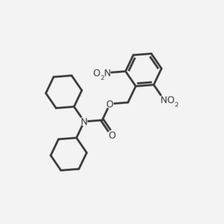 O=C(OCc1c([N+](=O)[O-])cccc1[N+](=O)[O-])N(C1CCCCC1)C1CCCCC1